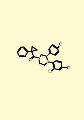 O=C(N1CCN(c2ccc(Cl)cc2Cl)[C@H](c2ccc(Cl)cc2)C1)C1(c2ccccc2)CC1